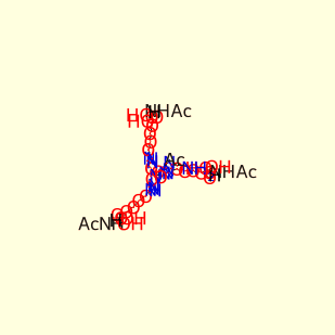 CC(=O)N[C@H]1[C@H]2OC[C@@](COCCOCCOCCOCCn3cc(COCC(COCc4cn(CCOCCOCCOCCOC[C@]56CO[C@@H](O5)[C@H](NC(C)=O)[C@@H](O)[C@H]6O)nn4)(COCc4cn(CCOCCOCCOCCOC[C@]56CO[C@@H](O5)[C@H](NC(C)=O)[C@@H](O)[C@H]6O)nn4)NC(=O)CCCCCN(CCCCCCN)C(C)=O)nn3)(O2)[C@H](O)[C@@H]1O